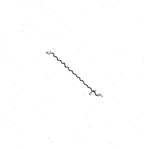 CCCCCCCCCCCCCCCCCCCCCC[NH+]([O-])CCC